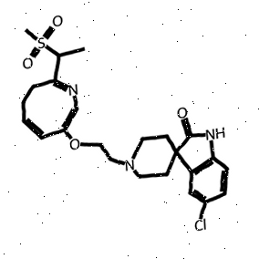 CC(/C1=N/C=C(OCCN2CCC3(CC2)C(=O)Nc2ccc(Cl)cc23)\C=C/CC1)S(C)(=O)=O